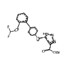 COC(=O)c1nn[nH]c1Oc1ccc(-c2ccccc2OC(F)F)cc1